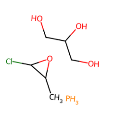 CC1OC1Cl.OCC(O)CO.P